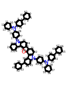 c1ccc(-c2ccc(N(c3ccccc3)c3ccc(-n4c5ccccc5c5c6oc7c(ccc8c7c7cc(-c9ccccc9)ccc7n8-c7ccc(N(c8ccccc8)c8ccc(-c9ccccc9)cc8)cc7)c6ccc54)cc3)cc2)cc1